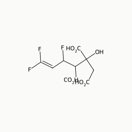 O=C(O)CC(O)(C(=O)O)C(C(=O)O)C(F)C=C(F)F